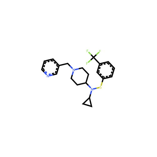 FC(F)(F)c1cccc(SN(C2CC2)C2CCN(Cc3cccnc3)CC2)c1